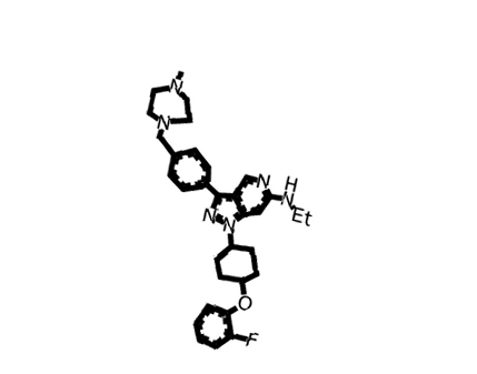 CCNc1cc2c(cn1)c(-c1ccc(CN3CCN(C)CC3)cc1)nn2C1CCC(Oc2ccccc2F)CC1